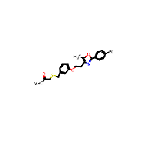 CCc1ccc(-c2nc(CCOc3cccc(CSCC(=O)OC)c3)c(C)o2)cc1